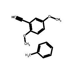 C#Cc1cc(OC)ccc1OC.Cc1ccccc1